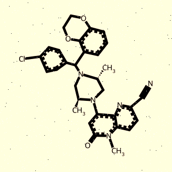 C[C@@H]1CN(c2cc(=O)n(C)c3ccc(C#N)nc23)[C@@H](C)CN1C(c1ccc(Cl)cc1)c1cccc2c1OCCO2